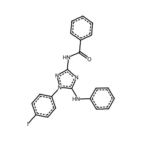 O=C(Nc1nc(Nc2ccccc2)n(-c2ccc(I)cc2)n1)c1ccccc1